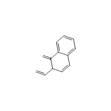 C=CC1C=Cc2ccccc2C1=N